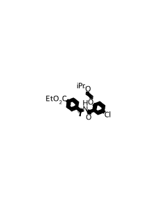 CCOC(=O)c1ccc([C@H](C)NC(=O)c2cc(Cl)ccc2OCCOC(C)C)cc1